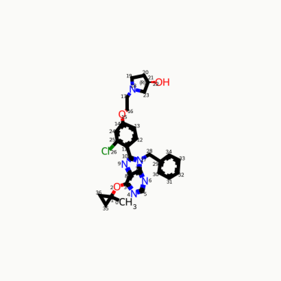 CC1(Oc2ncnc3c2nc(-c2ccc(OCCN4CC[C@@H](O)C4)cc2Cl)n3Cc2ccccc2)CC1